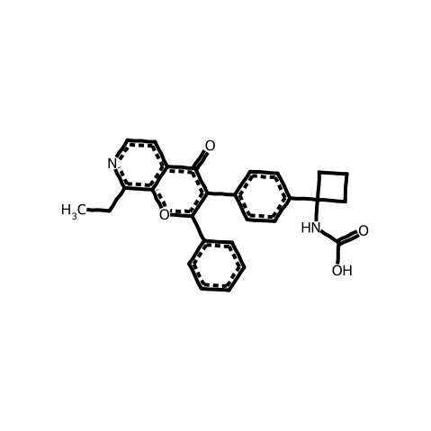 CCc1nccc2c(=O)c(-c3ccc(C4(NC(=O)O)CCC4)cc3)c(-c3ccccc3)oc12